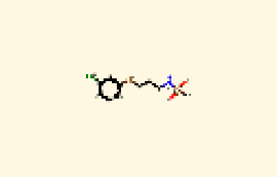 CS(=O)(=O)NCCCSc1cc[c]c(Cl)c1